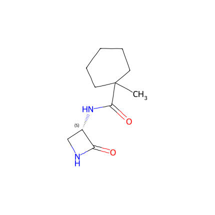 CC1(C(=O)N[C@H]2CNC2=O)CCCCC1